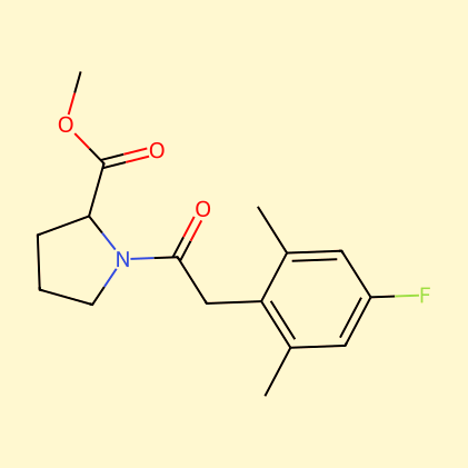 COC(=O)C1CCCN1C(=O)Cc1c(C)cc(F)cc1C